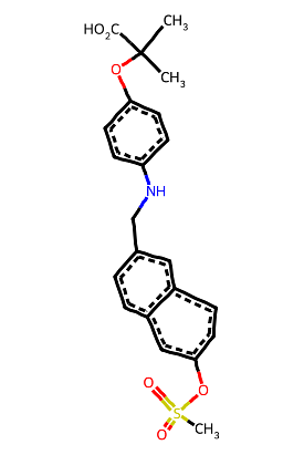 CC(C)(Oc1ccc(NCc2ccc3cc(OS(C)(=O)=O)ccc3c2)cc1)C(=O)O